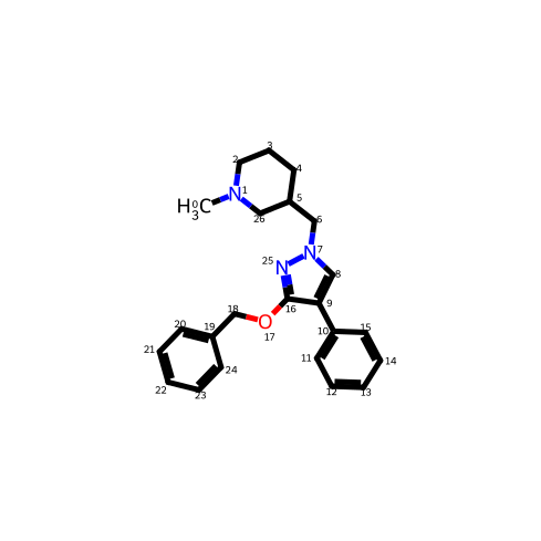 CN1CCCC(Cn2cc(-c3ccccc3)c(OCc3ccccc3)n2)C1